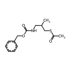 CC(=O)SCC(C)CNC(=O)OCc1ccccc1